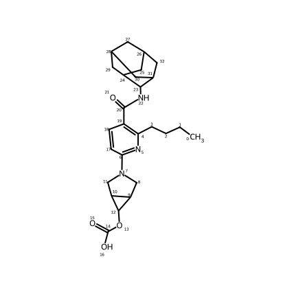 CCCCc1nc(N2CC3C(C2)C3OC(=O)O)ccc1C(=O)NC1C2CC3CC(C2)CC1C3